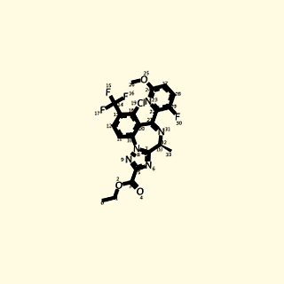 CCOC(=O)c1nc2n(n1)-c1ccc(C(F)(F)F)c(Cl)c1C(c1nc(OC)ccc1F)=N[C@H]2C